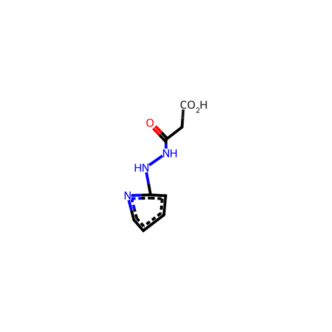 O=C(O)CC(=O)NNc1ccccn1